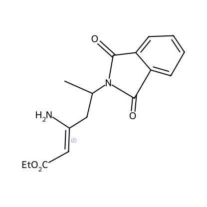 CCOC(=O)/C=C(\N)CC(C)N1C(=O)c2ccccc2C1=O